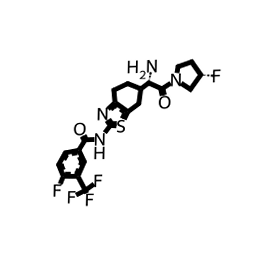 N[C@H](C(=O)N1CC[C@H](F)C1)C1CCc2nc(NC(=O)c3ccc(F)c(C(F)(F)F)c3)sc2C1